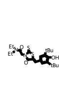 CCN(CC)C(=O)CN1C(=O)C(=Cc2cc(C(C)(C)C)c(O)c(C(C)(C)C)c2)SC1=S